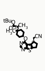 CN(C(=O)OC(C)(C)C)C1(C)CCC(Oc2ncnc3sc4c(c23)[C@@H](CC#N)CC4)CC1